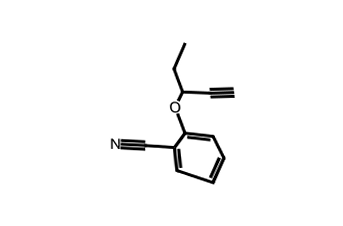 C#CC(CC)Oc1ccccc1C#N